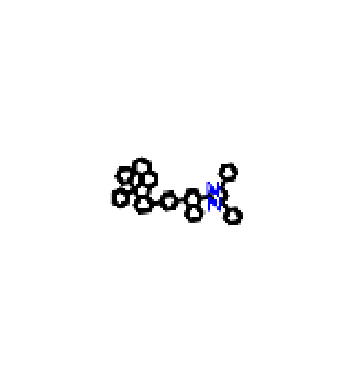 c1ccc(-c2cc(-c3ccccc3)nc(-c3ccc(-c4ccc(-c5cccc6c5-c5ccc7ccccc7c5C6(c5ccccc5)c5ccccc5)cc4)c4ccccc34)n2)cc1